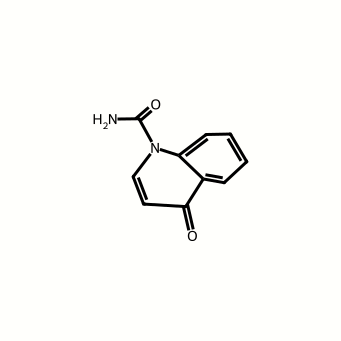 NC(=O)n1ccc(=O)c2ccccc21